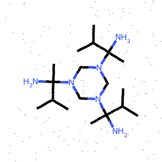 CC(C)C(C)(N)N1CN(C(C)(N)C(C)C)CN(C(C)(N)C(C)C)C1